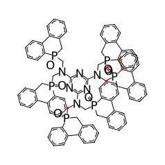 O=P1(CN(CP2(=O)Cc3ccccc3-c3ccccc32)c2nc(N(CP3(=O)Cc4ccccc4-c4ccccc43)CP3(=O)Cc4ccccc4-c4ccccc43)nc(N(CP3(=O)Cc4ccccc4-c4ccccc43)CP3(=O)Cc4ccccc4-c4ccccc43)n2)Cc2ccccc2-c2ccccc21